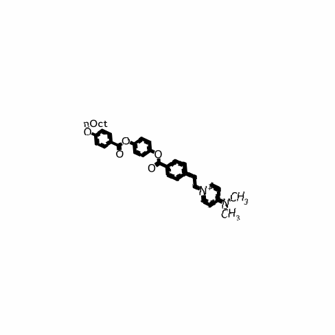 CCCCCCCCOc1ccc(C(=O)Oc2ccc(OC(=O)c3ccc(CC[n+]4ccc(N(C)C)cc4)cc3)cc2)cc1